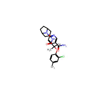 CC(C)(Oc1ccc(C(F)(F)F)cc1Cl)C(=O)NC1CC2CCC(C1)N2c1ccc(C(N)=O)cn1